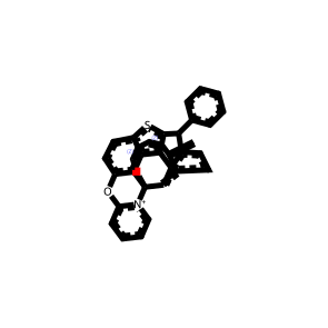 C=C1/C=C\C=C/CC23c4c1ccc1c4-c4c(sc5ccc(c2c45)Oc2cccc[n+]23)C1c1ccccc1